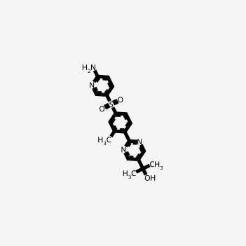 Cc1cc(S(=O)(=O)c2ccc(N)nc2)ccc1-c1ncc(C(C)(C)O)cn1